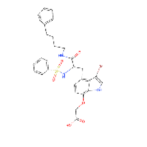 O=C(O)COc1ccc(CC(NS(=O)(=O)c2ccccc2)C(=O)NCCCCc2ccccc2)c2c(Br)c[nH]c12